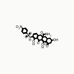 NC(=O)C12Cc3ccc(NS(=O)(=O)c4ccc([N+](=O)[O-])cc4)c(O)c3C(=O)C1=C(O)C1(O)C(=O)CC(O)CC1C2